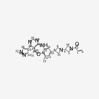 C=CC(=O)N1CC(N2CC(c3cc(C)c4c(c3)Nc3ncnc(-c5cnn(C)c5)c3[C@@H](C)O4)C2)C1